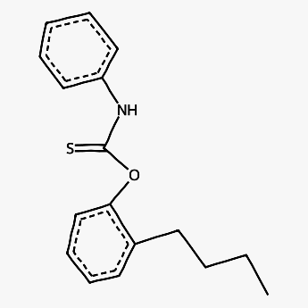 CCCCc1ccccc1OC(=S)Nc1ccccc1